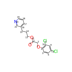 O=C(COc1ccc(Cl)cc1Cl)OCCCc1cccnc1